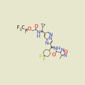 Cc1nonc1C(=O)N[C@H](c1cn2ncc([C@H](NC(=O)CO[C@H](C)C(F)(F)F)C3CC3)cc2n1)C1CCC(F)(F)CC1